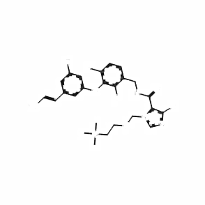 C[Si](C)(C)CCOCn1cnc(Cl)c1C(=O)NCc1ccc(Cl)c(Oc2cc(Cl)cc(C=CC#N)c2)c1F